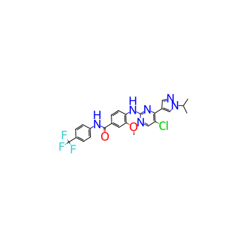 COc1cc(C(=O)Nc2ccc(C(F)(F)F)cc2)ccc1Nc1ncc(Cl)c(-c2cnn(C(C)C)c2)n1